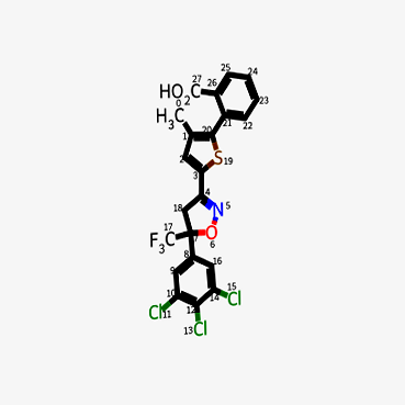 Cc1cc(C2=NOC(c3cc(Cl)c(Cl)c(Cl)c3)(C(F)(F)F)C2)sc1-c1ccccc1C(=O)O